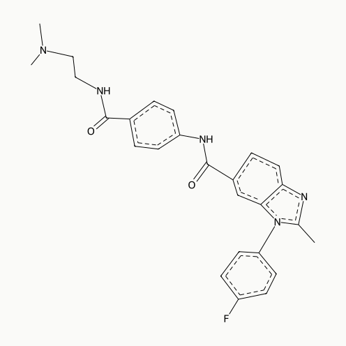 Cc1nc2ccc(C(=O)Nc3ccc(C(=O)NCCN(C)C)cc3)cc2n1-c1ccc(F)cc1